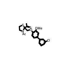 COc1cc(-c2cccc(Cl)c2)ccc1OCC1(C(C)=S)SCCN1C(C)=O